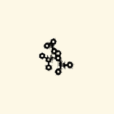 c1ccc(-c2cc(-c3ccccc3)nc(-n3c4cc(-c5nc(-c6ccccc6)nc(-c6ccccc6)n5)cc5c4c4c(cc(-n6c7ccccc7c7ccccc76)cc43)CC5)n2)cc1